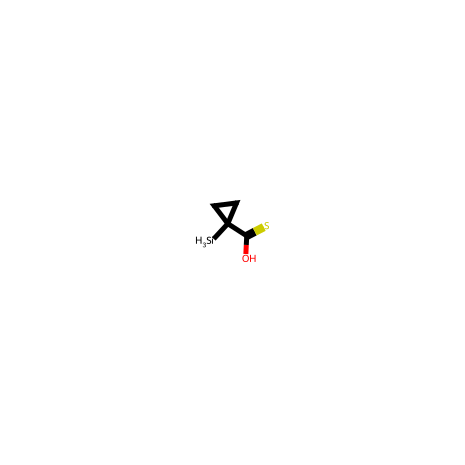 OC(=S)C1([SiH3])CC1